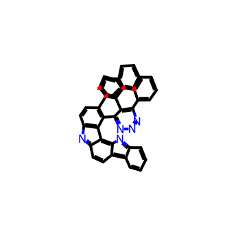 c1ccc(-c2ccc3c(c2-c2nnnc(-c4ccccc4)c2-c2cccc4ccccc24)-c2c4c(ccc2=N3)=c2ccccc2=N4)cc1